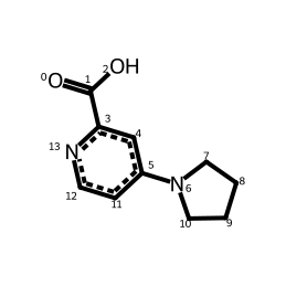 O=C(O)c1cc(N2CCCC2)ccn1